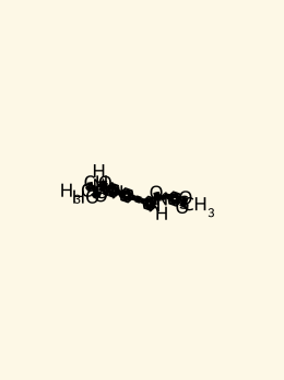 CC(C)[C@@H](NS(=O)(=O)N1CCN(c2ccc(C#Cc3ccnc(C(=O)NCc4ccc(S(C)(=O)=O)cc4)c3)cc2)CC1)C(=O)O